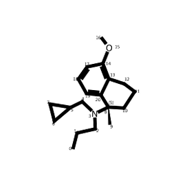 CCCN(CC1CC1)[C@@]1(C)CCCc2c(OC)cccc21